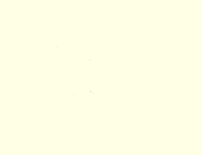 C=CCC(NC(=O)O)C(=O)CBr